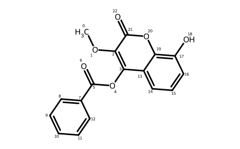 COc1c(OC(=O)c2ccccc2)c2cccc(O)c2oc1=O